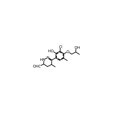 Cc1cc(C2=NNC(C=O)CC2C)c(O)c(Cl)c1OCC(C)O